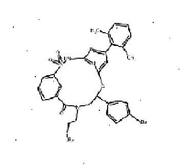 Cc1cccc(C)c1-c1cc2nc(n1)NS(=O)(=O)c1cccc(c1)C(=O)N(CCC(C)(C)C)CC(c1ccc(C(C)(C)C)cc1)O2